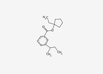 CCC(C)c1cccc(C(=O)OC2(CC)CCCC2)c1